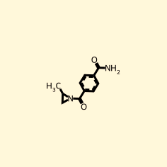 CC1CN1C(=O)c1ccc(C(N)=O)cc1